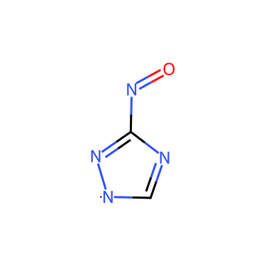 O=NC1=N[N]C=N1